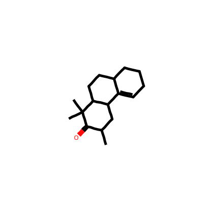 CC1CC2C3=CCCCC3CCC2C(C)(C)C1=O